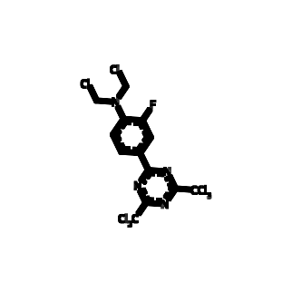 Fc1cc(-c2nc(C(Cl)(Cl)Cl)nc(C(Cl)(Cl)Cl)n2)ccc1N(CCl)CCl